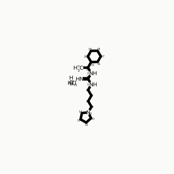 CC(NC(=N)NCCCCN1CCCC1)C1CCCCC1.Cl.Cl